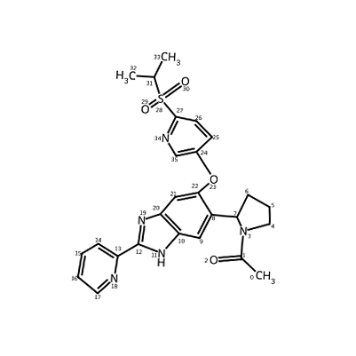 CC(=O)N1CCCC1c1cc2[nH]c(-c3ccccn3)nc2cc1Oc1ccc(S(=O)(=O)C(C)C)nc1